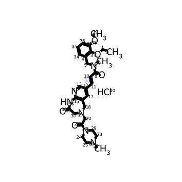 CCOc1c(CN(C)C(=O)/C=C/c2cnc3c(c2)CN(CC(=O)N2CCN(C)CC2)CC(=O)N3)cccc1OC.Cl